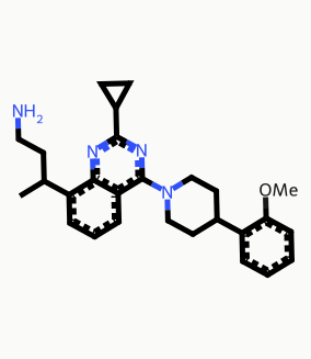 COc1ccccc1C1CCN(c2nc(C3CC3)nc3c(C(C)CCN)cccc23)CC1